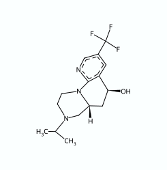 CC(C)N1CCN2c3ncc(C(F)(F)F)cc3[C@@H](O)C[C@@H]2C1